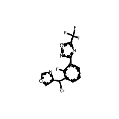 [O]C(c1cocn1)c1cccc(-c2noc(C(F)(F)F)n2)c1F